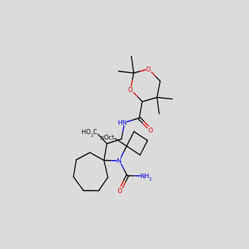 CCCCCCCCC1(N(C(N)=O)C2(C(CNC(=O)C3OC(C)(C)OCC3(C)C)C(=O)O)CCCCCC2)CCC1